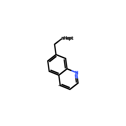 CCCCCCCCc1ccc2[c]ccnc2c1